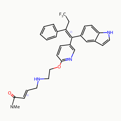 CNC(=O)/C=C/CNCCOc1ccc(/C(=C(/CC(F)(F)F)c2ccccc2)c2ccc3[nH]ccc3c2)cn1